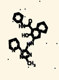 Cc1nc(/N=N/c2cc3ccccc3c(C(=O)Nc3ccccc3)c2O)n(-c2ccccn2)n1